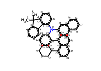 CC1(C)c2ccccc2-c2c(N(c3ccc4ccccc4c3)c3ccccc3-c3cccc4cccc(C5CCCCC5)c34)cccc21